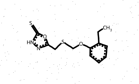 CCc1ccccc1OCSCc1n[nH]c(=S)o1